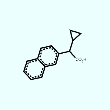 O=C(O)C(c1ccc2ccccc2c1)C1CC1